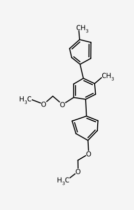 COCOc1ccc(-c2cc(C)c(-c3ccc(C)cc3)cc2OCOC)cc1